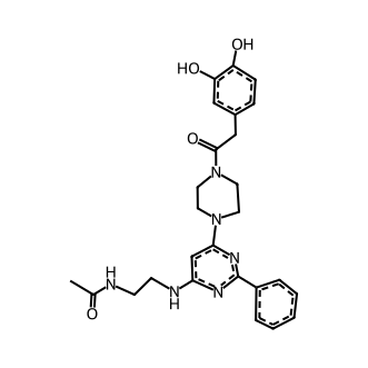 CC(=O)NCCNc1cc(N2CCN(C(=O)Cc3ccc(O)c(O)c3)CC2)nc(-c2ccccc2)n1